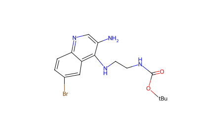 CC(C)(C)OC(=O)NCCNc1c(N)cnc2ccc(Br)cc12